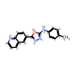 Cc1ccc(Nc2nnc(-c3ccc4ncccc4c3)o2)cc1